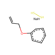 C=CCOc1ccccc1.SS.[NaH]